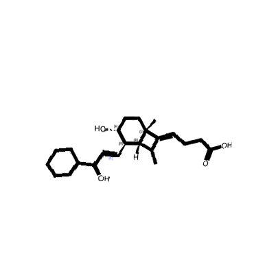 CC1C(=CCCC(=O)O)[C@@]2(C)CC[C@@H](O)[C@H](/C=C/C(O)C3CCCCC3)[C@@H]12